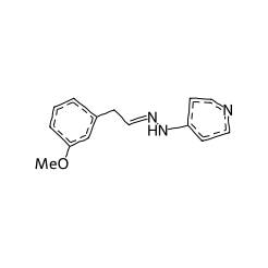 COc1cccc(CC=NNc2ccncc2)c1